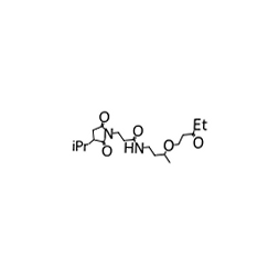 CCC(=O)CCOC(C)CCNC(=O)CCN1C(=O)CC(C(C)C)C1=O